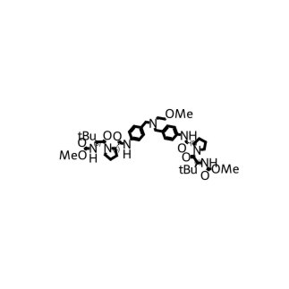 COCCN(Cc1ccc(NC(=O)[C@@H]2CCCN2C(=O)[C@@H](NC(=O)OC)C(C)(C)C)cc1)Cc1ccc(NC(=O)[C@@H]2CCCN2C(=O)[C@@H](NC(=O)OC)C(C)(C)C)cc1